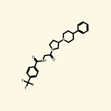 O=C(NCC(=O)N1CCC(N2CCC(c3ccccc3)CC2)C1)c1ccc(C(F)(F)F)cc1